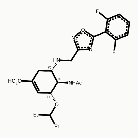 CCC(CC)O[C@@H]1C=C(C(=O)O)C[C@H](NCc2noc(-c3c(F)cccc3F)n2)[C@H]1NC(C)=O